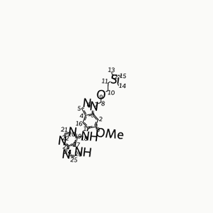 COc1cc2c(cnn2COCC[Si](C)(C)C)cc1Nc1ncnc2nc[nH]c12